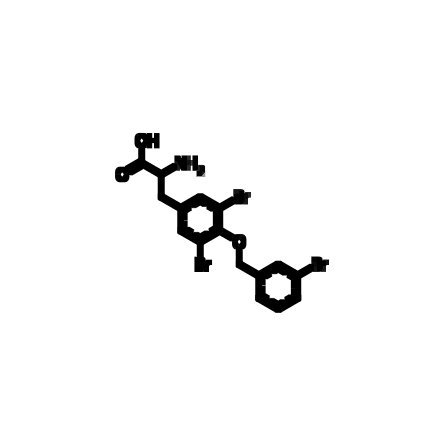 NC(Cc1cc(Br)c(OCc2cccc(Br)c2)c(Br)c1)C(=O)O